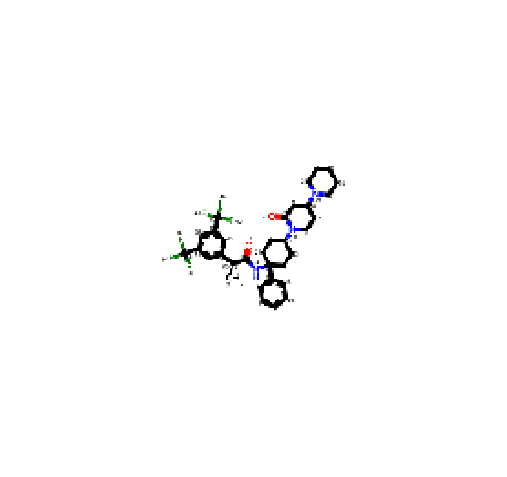 C[C@H](C(=O)NC1(c2ccccc2)CCC(N2CCC(N3CCCCC3)CC2=O)CC1)c1cc(C(F)(F)F)cc(C(F)(F)F)c1